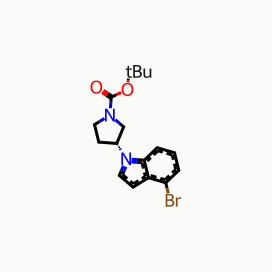 CC(C)(C)OC(=O)N1CC[C@@H](n2ccc3c(Br)cccc32)C1